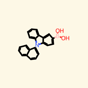 OB(O)c1ccc2c(c1)c1ccccc1n2-c1cccc2ccccc12